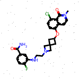 Cn1ccc2c(OC3CC4(C3)CN(CCNc3cc(C(N)=O)ccc3F)C4)ccc(Cl)c2c1=O